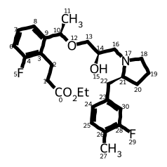 CCOC(=O)CCc1c(F)cccc1[C@@H](C)OC[C@H](O)CN1CCC[C@H]1Cc1ccc(C)c(F)c1